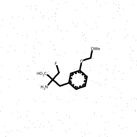 COCOc1cccc(CC(N)(CF)C(=O)O)c1